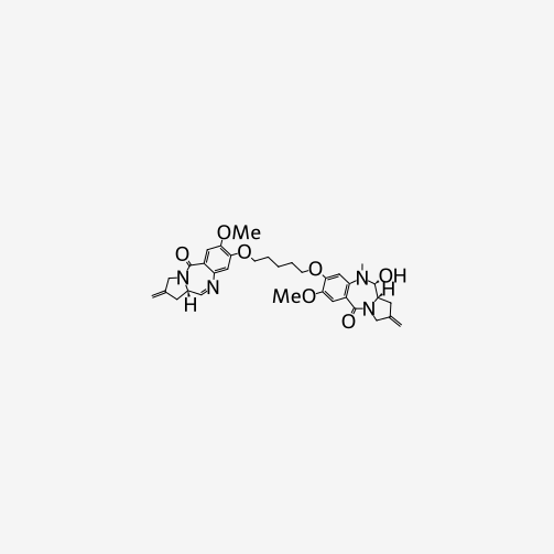 C=C1C[C@H]2C=Nc3cc(OCCCCCOc4cc5c(cc4OC)C(=O)N4CC(=C)C[C@H]4[C@H](O)N5C)c(OC)cc3C(=O)N2C1